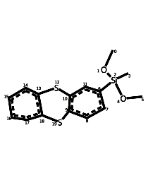 CO[Si](C)(OC)c1ccc2c(c1)Sc1ccccc1S2